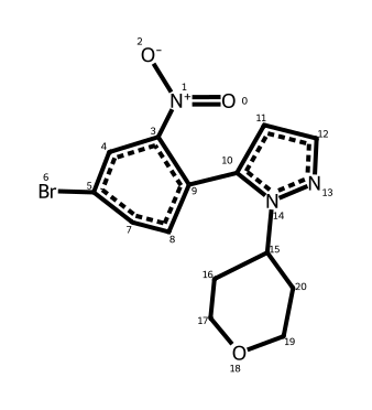 O=[N+]([O-])c1cc(Br)ccc1-c1ccnn1C1CCOCC1